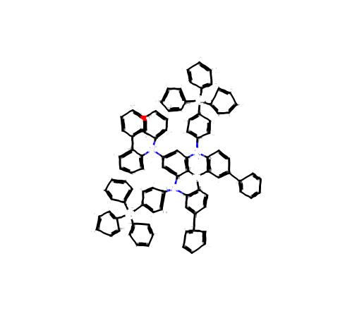 c1ccc(-c2ccc3c(c2)B2c4ccc(-c5ccccc5)cc4N(c4ccc([Si](c5ccccc5)(c5ccccc5)c5ccccc5)cc4)c4cc(N(c5ccccc5)c5ccccc5-c5ccccc5)cc(c42)N3c2ccc([Si](c3ccccc3)(c3ccccc3)c3ccccc3)cc2)cc1